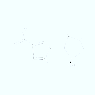 COC(=O)c1cnn([C@@H]2CCC[C@H]2OC)c1